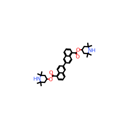 CC1(C)CC(OC(=O)c2cccc3cc(-c4ccc5c(C(=O)OC6CC(C)(C)NC(C)(C)C6)cccc5c4)ccc23)CC(C)(C)N1